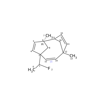 CC(F)C12C=C[C@](C)(C1)C1C=CC(C)(/C=C\2)C1